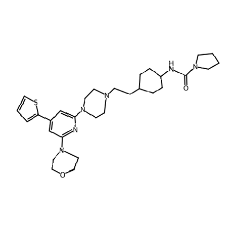 O=C(NC1CCC(CCN2CCN(c3cc(-c4cccs4)cc(N4CCOCC4)n3)CC2)CC1)N1CCCC1